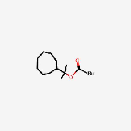 CCC(C)C(=O)OC(C)(C)C1CCCCCCC1